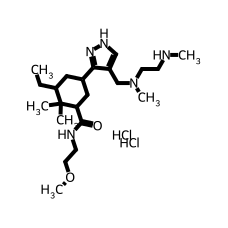 CCC1CC(c2n[nH]cc2CN(C)CCNC)CC(C(=O)NCCOC)C1(C)C.Cl.Cl